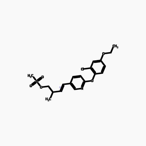 CCOc1ccc(Oc2ccc(/C=C/C(C)COS(C)(=O)=O)cn2)c(Cl)c1